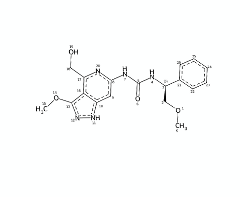 COC[C@@H](NC(=O)Nc1cc2[nH]nc(OC)c2c(CO)n1)c1ccccc1